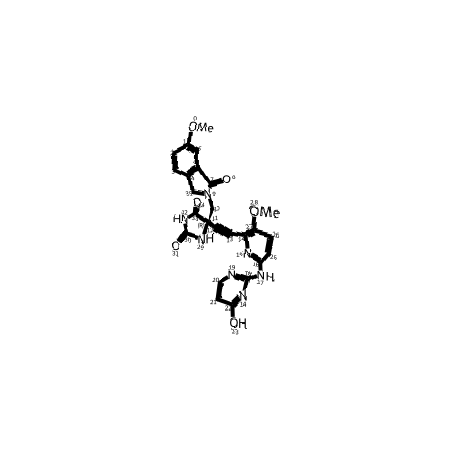 COc1ccc2c(c1)C(=O)N(C[C@@]1(C#Cc3nc(Nc4nccc(O)n4)ccc3OC)NC(=O)NC1=O)C2